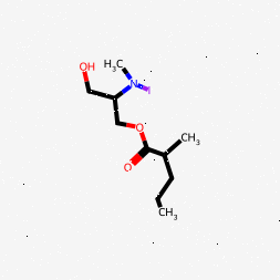 CCCC(C)C(=O)OCC(CO)N(C)I